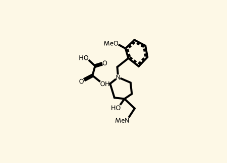 CNCC1(O)CCN(Cc2ccccc2OC)CC1.O=C(O)C(=O)O